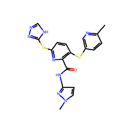 Cc1ccc(Sc2ccc(Sc3nnc[nH]3)nc2C(=O)Nc2ccn(C)n2)cn1